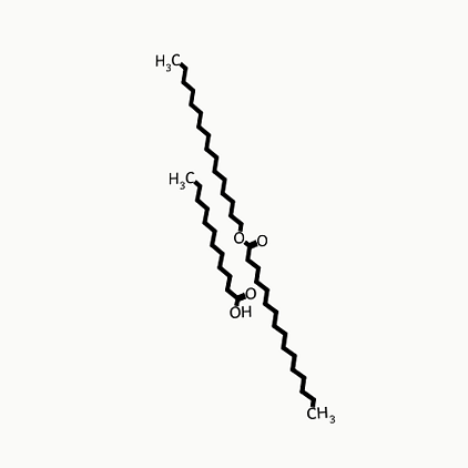 CCCCCCCCCCCC(=O)O.CCCCCCCCCCCCCCCCOC(=O)CCCCCCCCCCCCCCC